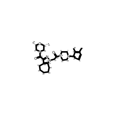 Cc1cccc(N2CCN(C(=O)Cn3nc(C(=O)N4C[C@@H](C)O[C@@H](C)C4)c4c3CCCCC4)CC2)c1C